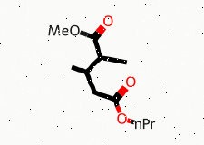 CCCOC(=O)CC(C)C(C)C(=O)OC